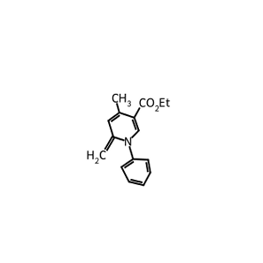 C=C1C=C(C)C(C(=O)OCC)=CN1c1ccccc1